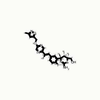 Cc1cc(COc2cnc(/C(F)=C/c3ccc(F)c([C@@]4(C)N=C(N)S[C@](C)(CO)[C@H]4C)c3)cn2)on1